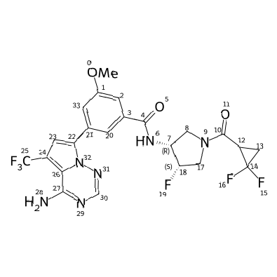 COc1cc(C(=O)N[C@@H]2CN(C(=O)C3CC3(F)F)C[C@@H]2F)cc(-c2cc(C(F)(F)F)c3c(N)ncnn23)c1